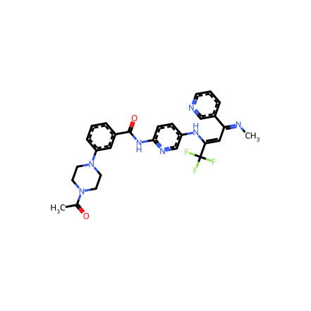 C/N=C(\C=C(/Nc1ccc(NC(=O)c2cccc(N3CCN(C(C)=O)CC3)c2)nc1)C(F)(F)F)c1cccnc1